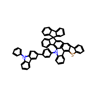 c1ccc(-n2c3ccccc3c3cc(-c4ccc(N(c5ccccc5-c5cccc6c5sc5ccccc56)c5cccc6c5-c5ccccc5C65c6ccccc6-c6ccccc65)cc4)ccc32)cc1